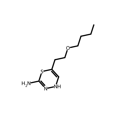 CCCCOCCC1=CNN=C(N)S1